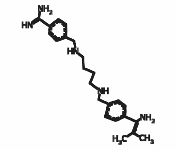 CC(C)=C(N)c1ccc(CNCCCCNCc2ccc(C(=N)N)cc2)cc1